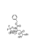 CCCC(CCC)S(=O)(=O)CC(NC(=O)OCc1ccccc1)C(=O)O.O=C(O)C(F)(F)F